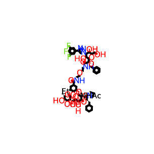 CCC1CC(C(=O)NCCOCCNC(=O)[C@@H](OCc2ccccc2)[C@H]2OC(CO)[C@H](O)C(n3cc(-c4cc(F)c(F)c(F)c4)nn3)C2O)C[C@@H](O[C@@H]2OC(CO)[C@H](O)C(O[C@@H](CC3CCCCC3)C(=O)N3CCC3)C2NC(C)=O)C1OC1O[C@@H](C)C(O)C(O)[C@@H]1O